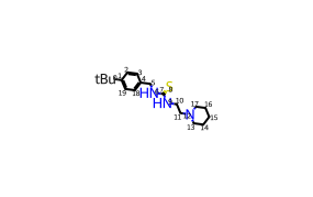 CC(C)(C)c1ccc(CNC(=S)NCCN2CCCCC2)cc1